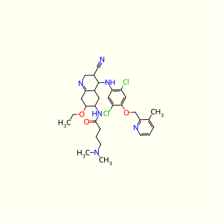 CCOC1CC2=NCC(C#N)C(Nc3cc(Cl)c(OCc4ncccc4C)cc3Cl)C2CC1NC(=O)CCCN(C)C